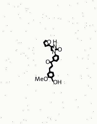 COc1cc(/C=C/C(=O)c2cccc(-n3cc(-c4ccco4)[nH]c3=O)c2)ccc1CO